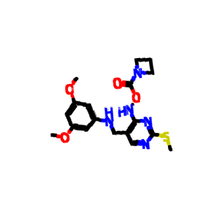 COc1cc(NCc2cnc(SC)nc2NOC(=O)N2CCC2)cc(OC)c1